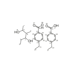 CCC(O)C(C)C(C)O.CCc1ccc(C(=O)O)cc1.CCc1ccc(C(=O)O)cc1